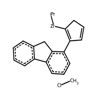 CCl.C[CH](C)[Zr][C]1=C(c2cccc3c2Cc2ccccc2-3)C=CC1